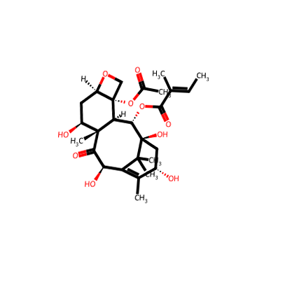 C/C=C(\C)C(=O)O[C@H]1[C@@H]2[C@]3(OC(C)=O)CO[C@@H]3C[C@H](O)[C@@]2(C)C(=O)[C@H](O)C2=C(C)[C@@H](O)C[C@]1(O)C2(C)C